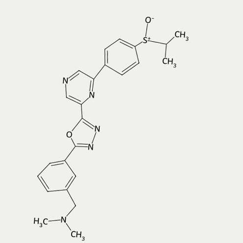 CC(C)[S+]([O-])c1ccc(-c2cncc(-c3nnc(-c4cccc(CN(C)C)c4)o3)n2)cc1